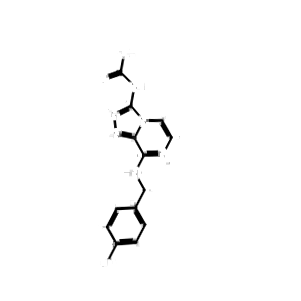 O=C(O)Nc1nnc2c(NCc3ccc(Cl)cc3)nccn12